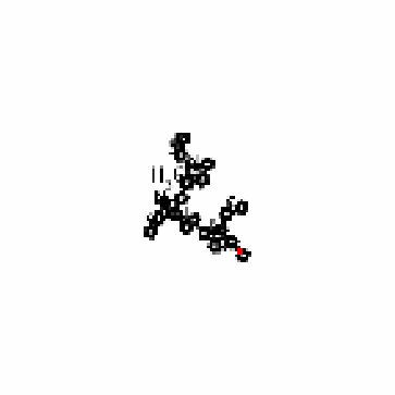 Cc1cc(-c2ccc(-c3nc(-c4ccc5sc6ccccc6c5c4)cc(-c4cccc5c(-c6ccc(-c7cccnc7)c(-c7nc(-c8ccc(-c9ccccc9)cc8)cc(-c8ccc9sc%10ccccc%10c9c8)n7)c6)cccc45)n3)c(-c3cccnc3)c2)ccc1-c1cc(-c2ccc3sc4ccccc4c3c2)nc(-c2ccccc2-c2cccnc2)n1